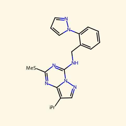 CSc1nc(NCc2ccccc2-n2cccn2)n2ncc(C(C)C)c2n1